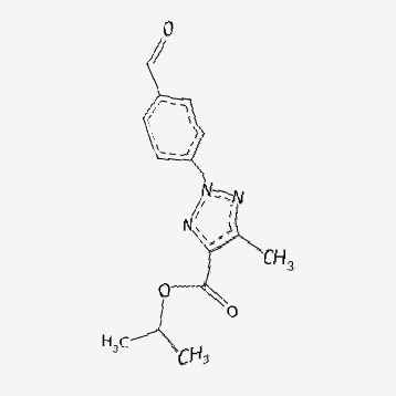 Cc1nn(-c2ccc(C=O)cc2)nc1C(=O)OC(C)C